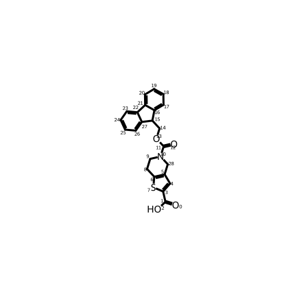 O=C(O)c1cc2c(s1)CCN(C(=O)OCC1c3ccccc3-c3ccccc31)C2